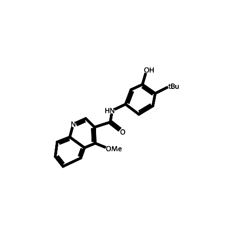 COc1c(C(=O)Nc2ccc(C(C)(C)C)c(O)c2)cnc2ccccc12